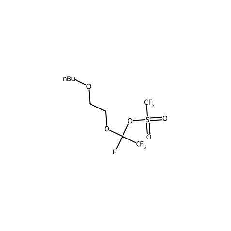 CCCCOCCOC(F)(OS(=O)(=O)C(F)(F)F)C(F)(F)F